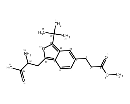 COC(=O)CCc1ccc2c(CC(N)C(=O)O)oc(C(C)(C)C)c2c1